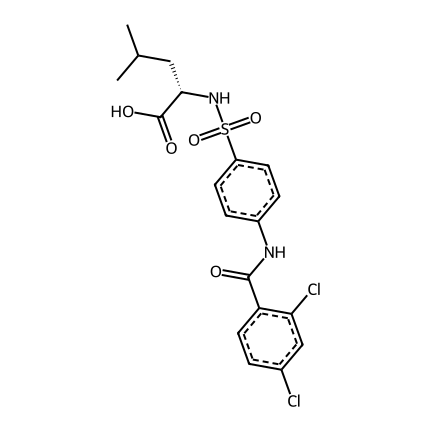 CC(C)C[C@H](NS(=O)(=O)c1ccc(NC(=O)c2ccc(Cl)cc2Cl)cc1)C(=O)O